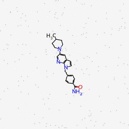 CC1CCN(c2cnc3c(ccn3Cc3ccc(C(N)=O)cc3)c2)CC1